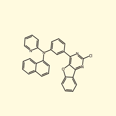 Clc1nc(-c2cccc(N(c3ccccn3)c3cccc4ccccc34)c2)c2oc3ccccc3c2n1